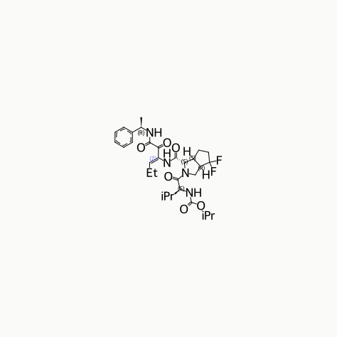 CC/C=C(\NC(=O)[C@@H]1[C@H]2CCC(F)(F)[C@H]2CN1C(=O)[C@@H](NC(=O)OC(C)C)C(C)C)C(=O)C(=O)N[C@H](C)c1ccccc1